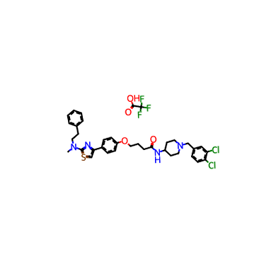 CN(CCc1ccccc1)c1nc(-c2ccc(OCCCC(=O)NC3CCN(Cc4ccc(Cl)c(Cl)c4)CC3)cc2)cs1.O=C(O)C(F)(F)F